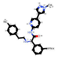 CCCCCCc1cccc([C@@H](NCCc2ccc(C#N)cc2)C(=O)Nc2ccc(-c3cnn(C)c3)cn2)c1